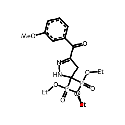 CCOP(=O)(OCC)C1(P(=O)(OCC)OCC)CC(C(=O)c2cccc(OC)c2)=NN1